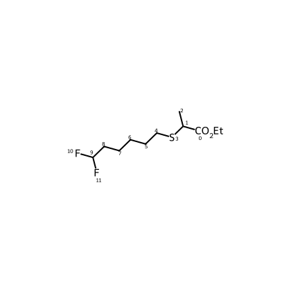 CCOC(=O)C(C)SCCCCCC(F)F